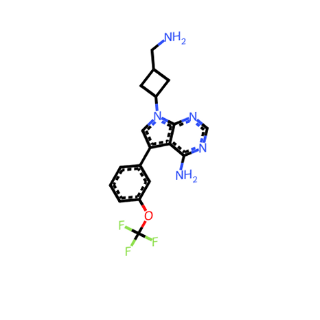 NCC1CC(n2cc(-c3cccc(OC(F)(F)F)c3)c3c(N)ncnc32)C1